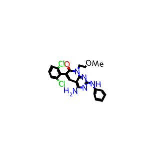 COCCn1c(=O)c(-c2c(Cl)cccc2Cl)cc2c(N)nc(Nc3ccccc3)nc21